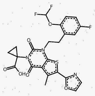 Cc1c(-c2ncco2)sc2c1c(=O)n(C1(C(=O)O)CC1)c(=O)n2CCc1cc(F)ccc1OC(F)F